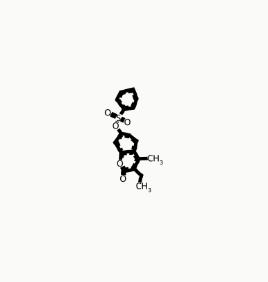 CCc1c(C)c2ccc(OS(=O)(=O)c3ccccc3)cc2oc1=O